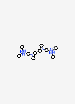 C1=CCC2C(=C1)c1cc(-c3ccc4c(c3)c3ccccc3n4-c3ccc(-c4nc(-c5ccccc5)nc(-c5ccccc5)n4)cc3)ccc1N2c1ccc(-c2nc(-c3ccccc3)nc(-c3ccccc3)n2)cc1